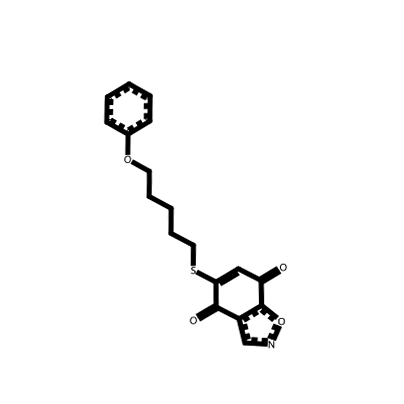 O=C1C(SCCCCCOc2ccccc2)=CC(=O)c2oncc21